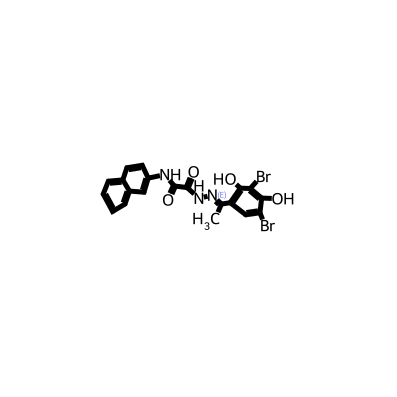 C/C(=N\NC(=O)C(=O)Nc1ccc2ccccc2c1)c1cc(Br)c(O)c(Br)c1O